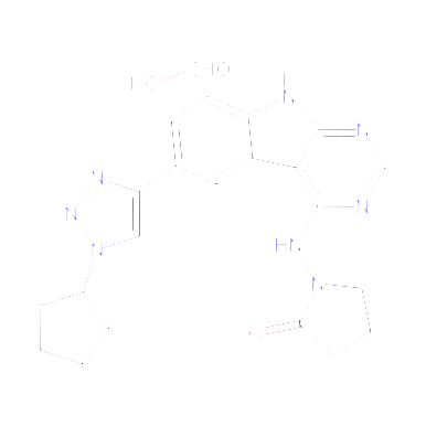 O=C1CCCN1Nc1ncnc2[nH]c3ccc(-c4cn(C5CCCC5)nn4)cc3c12.O=CO